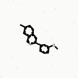 COc1cccc(-c2cc3ccc(C)cc3cn2)c1